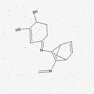 C=NC1=C(/N=C2/C=C(S)C(S)CC2)C2C=CC1C2